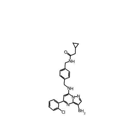 Bc1cnn2c(NCc3ccc(CNC(=O)CC4CC4)cc3)cc(-c3ccccc3Cl)nc12